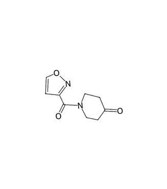 O=C1CCN(C(=O)c2ccon2)CC1